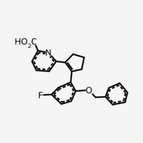 O=C(O)c1cccc(C2=C(c3cc(F)ccc3OCc3ccccc3)CCC2)n1